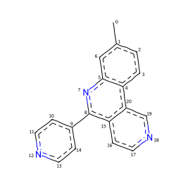 Cc1ccc2c(c1)nc(-c1ccncc1)c1ccncc12